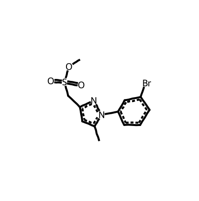 COS(=O)(=O)Cc1cc(C)n(-c2cccc(Br)c2)n1